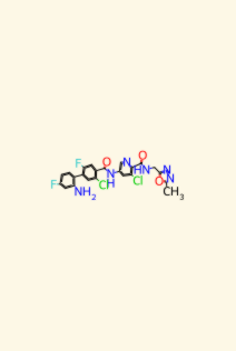 Cc1nnc(CNC(=O)c2ncc(NC(=O)c3cc(F)c(-c4ccc(F)cc4N)cc3Cl)cc2Cl)o1